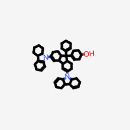 OC1CC=C(C2(C3=CCCCC3)C3CCC(N4C5=C(CCC=C5)C5CCCCC54)=CC3C3C=C(N4C5C=CCCC5C5C=CCCC54)CCC32)CC1